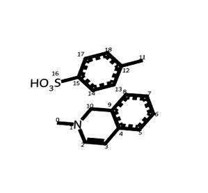 CN1C=Cc2ccccc2C1.Cc1ccc(S(=O)(=O)O)cc1